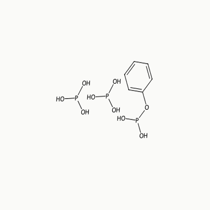 OP(O)O.OP(O)O.OP(O)Oc1ccccc1